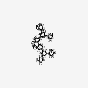 c1cncc(-c2cc(-c3cccnc3)cc(-c3ccc4c(c3)OCOc3ccc(-c5cc(-c6cccnc6)cc(-c6cccnc6)c5)cc3-4)c2)c1